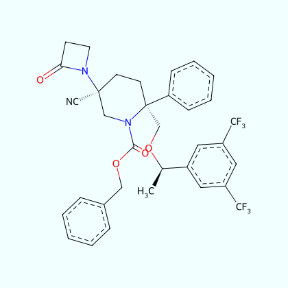 C[C@@H](OC[C@@]1(c2ccccc2)CC[C@](C#N)(N2CCC2=O)CN1C(=O)OCc1ccccc1)c1cc(C(F)(F)F)cc(C(F)(F)F)c1